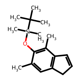 Cc1cc2c(c(C)c1O[Si](C)(C)C(C)(C)C)C=CC2